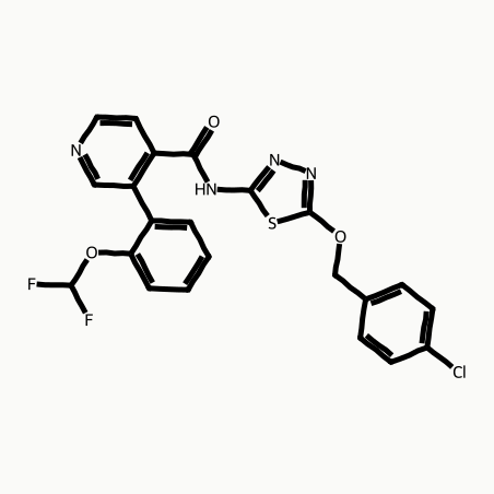 O=C(Nc1nnc(OCc2ccc(Cl)cc2)s1)c1ccncc1-c1ccccc1OC(F)F